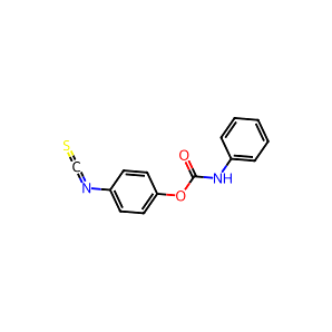 O=C(Nc1ccccc1)Oc1ccc(N=C=S)cc1